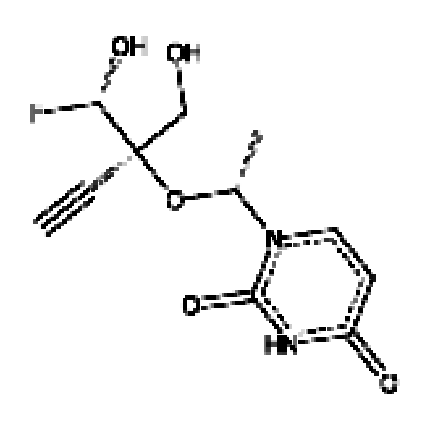 C#C[C@](CO)(O[C@H](C)n1ccc(=O)[nH]c1=O)[C@@H](O)F